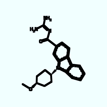 CO[C@H]1CC[C@H](n2c3ccccc3c3ccc(C(=O)N=C(N)N)cc32)CC1